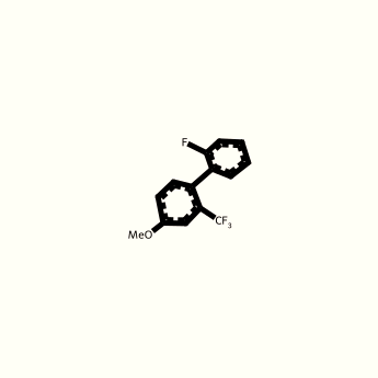 COc1ccc(-c2ccccc2F)c(C(F)(F)F)c1